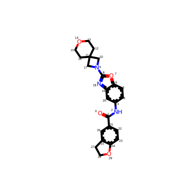 O=C(Nc1ccc2oc(N3CC4(CCOCC4)C3)nc2c1)c1ccc2c(c1)CCO2